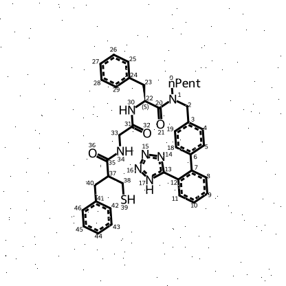 CCCCCN(Cc1ccc(-c2ccccc2-c2nnn[nH]2)cc1)C(=O)[C@H](Cc1ccccc1)NC(=O)CNC(=O)C(CS)Cc1ccccc1